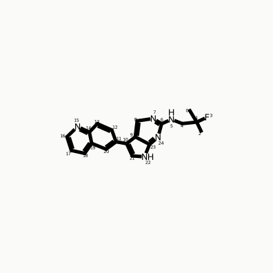 CC(C)(F)CNc1ncc2c(-c3ccc4ncccc4c3)c[nH]c2n1